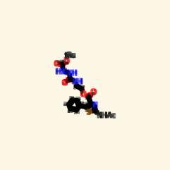 CC(=O)Nc1nc(C(=O)OCCNC(=O)NNC(=O)OC(C)(C)C)c(-c2ccccc2)s1